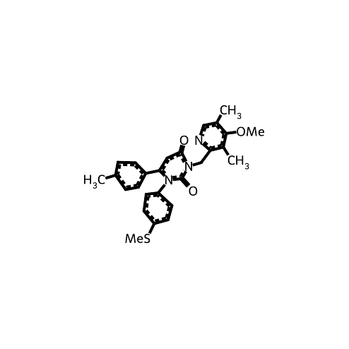 COc1c(C)cnc(Cn2c(=O)cc(-c3ccc(C)cc3)n(-c3ccc(SC)cc3)c2=O)c1C